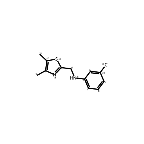 Cc1nc(CNc2cccc(Cl)c2)sc1C